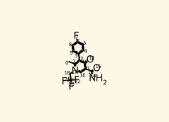 Cc1c(-c2ccc(F)cc2)c(=O)c(C(N)=O)cn1CC(F)(F)F